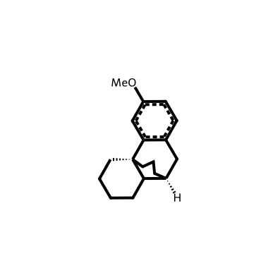 COc1ccc2c(c1)[C@]13CCCCC1[C@@H](CCC3)C2